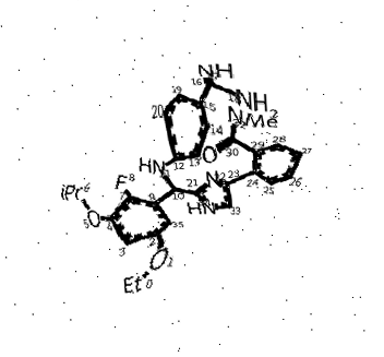 CCOc1cc(OC(C)C)c(F)c(C(Nc2ccc(C(=N)N)cc2)c2nc(-c3ccccc3C(=O)NC)c[nH]2)c1